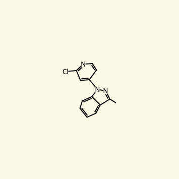 Cc1nn(-c2ccnc(Cl)c2)c2ccccc12